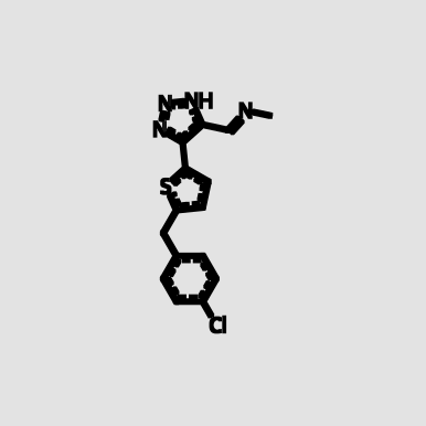 C/N=C/c1[nH]nnc1-c1ccc(Cc2ccc(Cl)cc2)s1